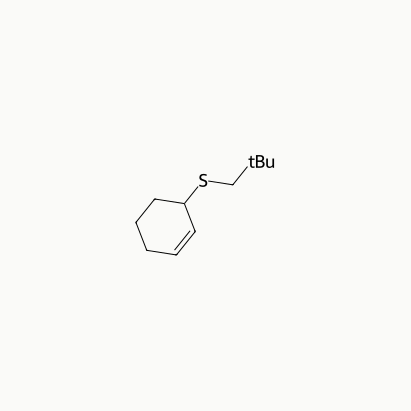 CC(C)(C)CSC1C=CCCC1